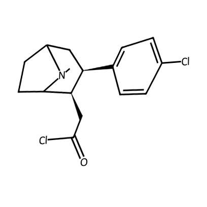 CN1C2CCC1[C@H](CC(=O)Cl)[C@H](c1ccc(Cl)cc1)C2